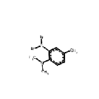 Cc1ccc(N(C)C)c(P(Br)Br)c1